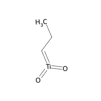 CC[CH]=[Ti](=[O])=[O]